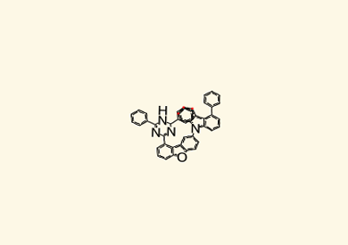 c1ccc(C2=NC(c3cccc4oc5ccc(-n6c7ccccc7c7c(-c8ccccc8)cccc76)cc5c34)=NC(c3ccccc3)N2)cc1